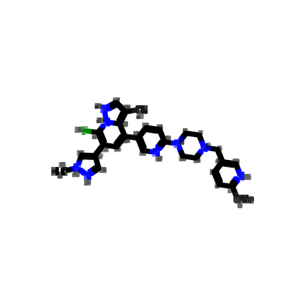 COc1ccc(CN2CCN(c3ccc(-c4cc(-c5cnn(C)c5)c(F)n5ncc(C#N)c45)cn3)CC2)cn1